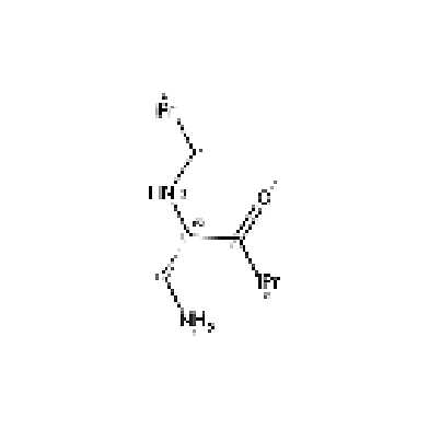 CC(C)CN[C@@H](CN)C(=O)C(C)C